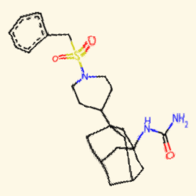 NC(=O)NC12CC3CC(C1)CC(C1CCN(S(=O)(=O)Cc4ccccc4)CC1)(C3)C2